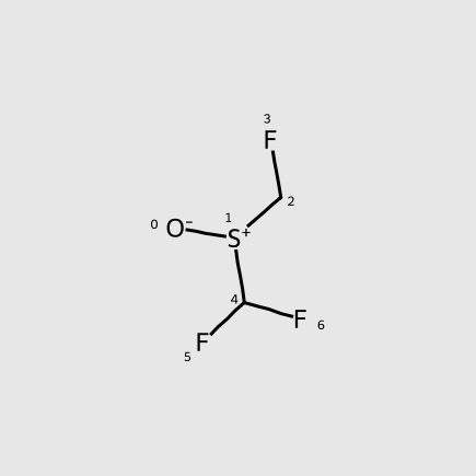 [O-][S+](CF)C(F)F